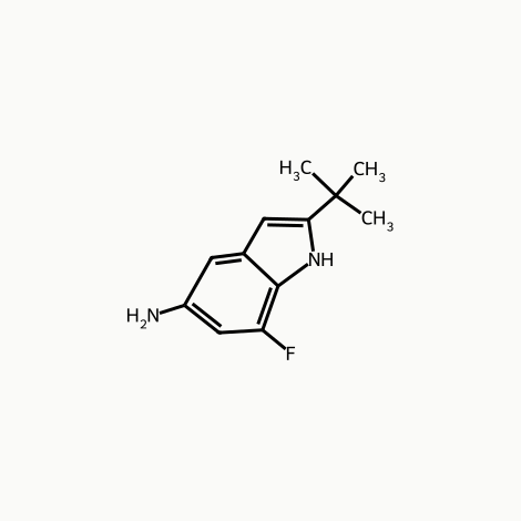 CC(C)(C)c1cc2cc(N)cc(F)c2[nH]1